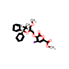 COCC(COc1c(I)cc(C(=O)OC)oc1=O)O[Si](c1ccccc1)(c1ccccc1)C(C)(C)C